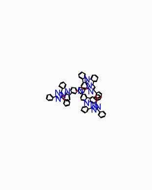 c1ccc(-c2cc(-c3ccccc3-n3c4ccccc4c4cc(N(c5ccc6c(c5)c5ccccc5n6-c5ccccc5-c5nc(-c6ccccc6)nc(-c6ccccc6)n5)c5ccc6c(c5)c5ccccc5n6-c5ccccc5-c5nc(-c6ccccc6)nc(-c6ccccc6)n5)ccc43)nc(-c3ccccc3)n2)cc1